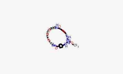 O=C1NCCCOCCOCCOCCCNC(=O)c2ccc(cc2)Nc2nc(nc(OCC(F)(F)F)n2)NCc2ccc1cc2